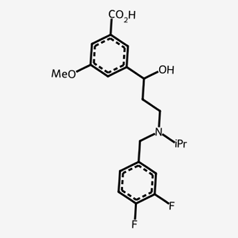 COc1cc(C(=O)O)cc(C(O)CCN(Cc2ccc(F)c(F)c2)C(C)C)c1